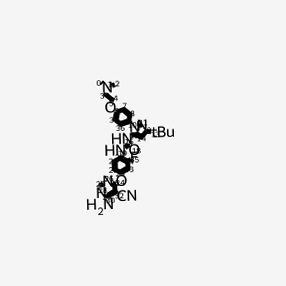 CN(C)CCOc1ccc(-n2nc(C(C)(C)C)cc2NC(=O)Nc2ccc(Oc3ncnc(N)c3C#N)cc2F)cc1